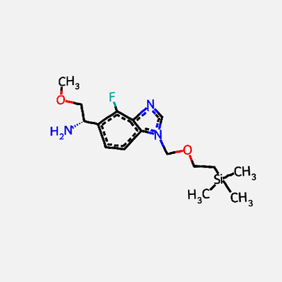 COC[C@@H](N)c1ccc2c(ncn2COCC[Si](C)(C)C)c1F